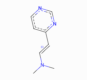 CN(C)/C=C/c1ccncn1